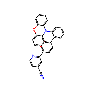 N#Cc1ccnc(-c2ccc(-c3ccccc3N3c4ccccc4Oc4ccccc43)cc2)c1